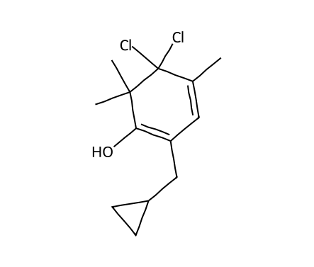 CC1=CC(CC2CC2)=C(O)C(C)(C)C1(Cl)Cl